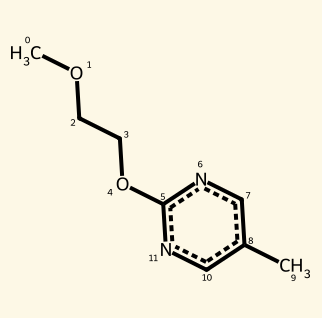 COCCOc1ncc(C)cn1